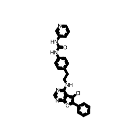 O=C(Nc1ccc(CCNc2ncnc3oc(-c4ccccc4)c(Cl)c23)cc1)Nc1cccnc1